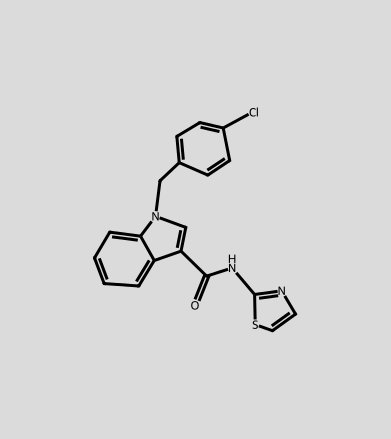 O=C(Nc1nccs1)c1cn(Cc2ccc(Cl)cc2)c2ccccc12